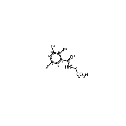 O=C(O)CNC(=O)c1cc(I)cc(I)c1I